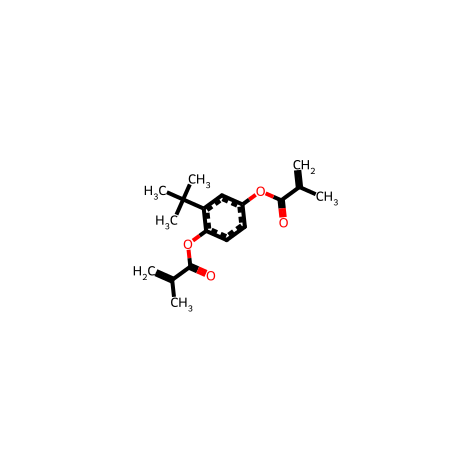 C=C(C)C(=O)Oc1ccc(OC(=O)C(=C)C)c(C(C)(C)C)c1